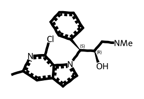 CNC[C@@H](O)[C@H](c1ccccc1)n1ccc2cc(C)nc(Cl)c21